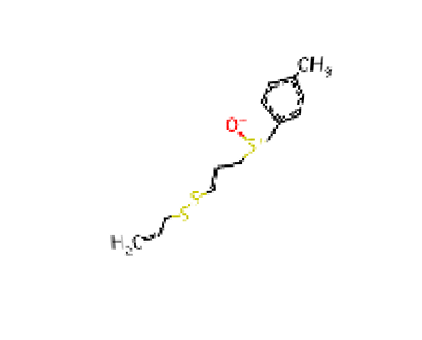 C=CCSSC=CC[S+]([O-])Cc1ccc(C)cc1